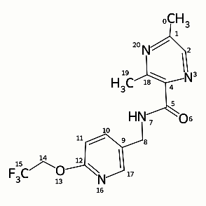 Cc1cnc(C(=O)NCc2ccc(OCC(F)(F)F)nc2)c(C)n1